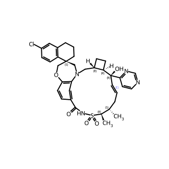 C[C@@H]1[C@@H](C)C/C=C/[C@@](O)(c2ccncn2)[C@@H]2CC[C@H]2CN2C[C@@]3(CCCc4cc(Cl)ccc43)COc3ccc(cc32)C(=O)NS1(=O)=O